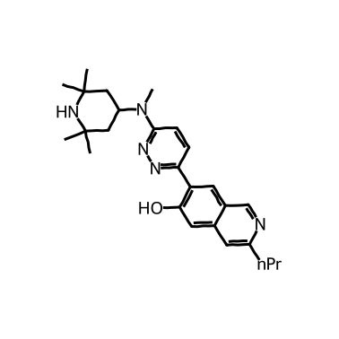 CCCc1cc2cc(O)c(-c3ccc(N(C)C4CC(C)(C)NC(C)(C)C4)nn3)cc2cn1